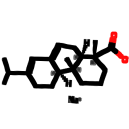 CC(C)C1=CC2=CC[C@@H]3[C@](C)(CCC[C@@]3(C)C(=O)[O-])[C@H]2CC1.[Na+]